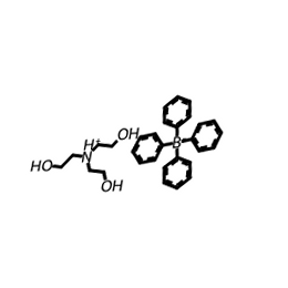 OCC[NH+](CCO)CCO.c1ccc([B-](c2ccccc2)(c2ccccc2)c2ccccc2)cc1